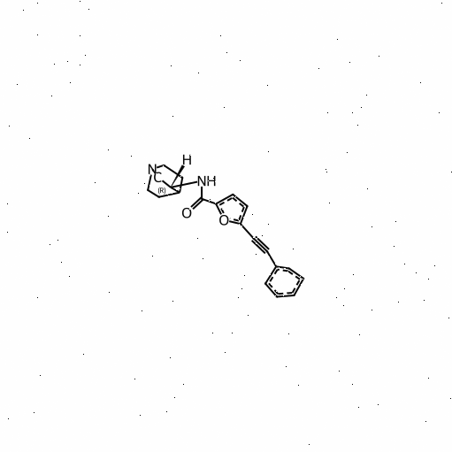 O=C(N[C@H]1CN2CCC1CC2)c1ccc(C#Cc2ccccc2)o1